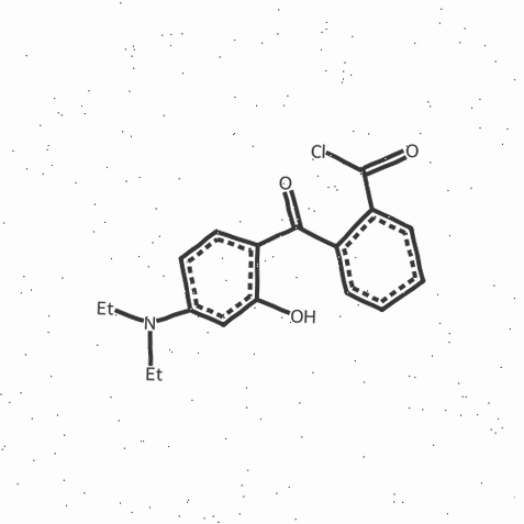 CCN(CC)c1ccc(C(=O)c2ccccc2C(=O)Cl)c(O)c1